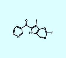 Cc1c(C(=O)c2cccnc2)[nH]c2ccc(F)cc12